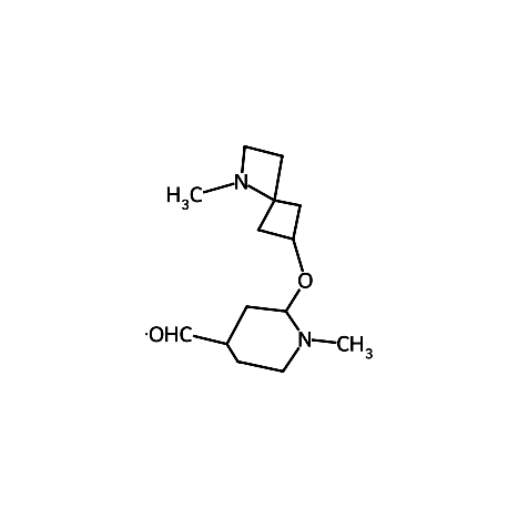 CN1CCC([C]=O)CC1OC1CC2(CCN2C)C1